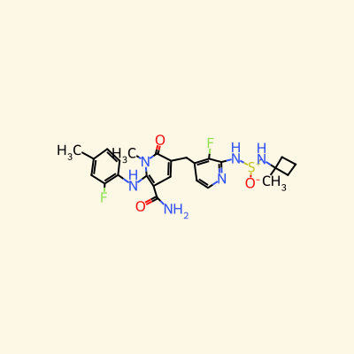 Cc1ccc(Nc2c(C(N)=O)cc(Cc3ccnc(N[S+]([O-])NC4(C)CCC4)c3F)c(=O)n2C)c(F)c1